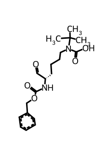 CC(C)(C)N(CCCC[C@@H](C=O)NC(=O)OCc1ccccc1)C(=O)O